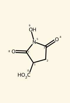 O=C(O)C1CC(=O)N(O)C1=O